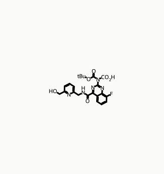 CC(C)(C)OC(=O)N(C(=O)O)c1nc(C(=O)NCc2cccc(CO)n2)c2cccc(F)c2n1